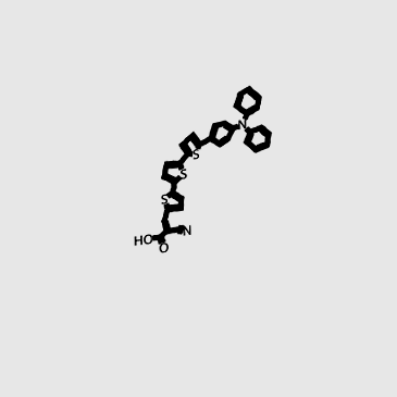 N#C/C(=C\c1ccc(-c2ccc(-c3ccc(-c4ccc(N(c5ccccc5)c5ccccc5)cc4)s3)s2)s1)C(=O)O